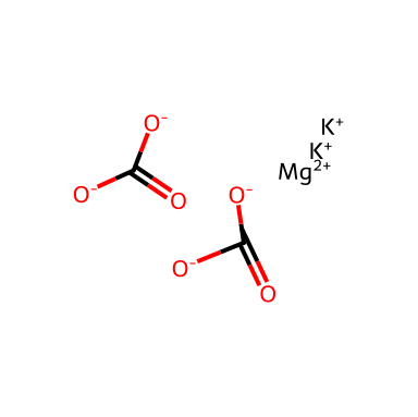 O=C([O-])[O-].O=C([O-])[O-].[K+].[K+].[Mg+2]